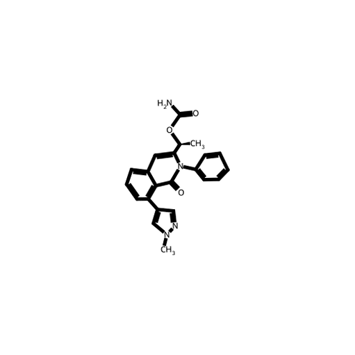 C[C@H](OC(N)=O)c1cc2cccc(-c3cnn(C)c3)c2c(=O)n1-c1ccccc1